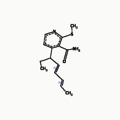 C/C=C/C=C/C(CC)c1ccnc(SC)c1C(N)=O